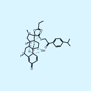 CCC(=O)O[C@]1(C(=O)SCC(=O)c2ccc(C(C)C)cc2)[C@H](C)C[C@H]2[C@@H]3C[C@H](F)C4=CC(=O)C=C[C@]4(C)[C@@]3(F)[C@@H](O)C[C@@]21C